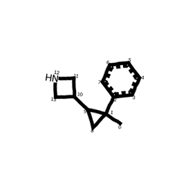 CC1(c2ccccc2)C[C]1C1CNC1